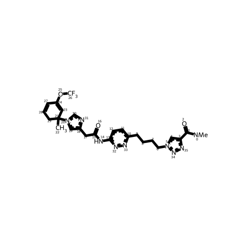 CNC(=O)c1cn(CCCCc2ccc(NC(=O)Cc3cn(C4(C)C=C(OC(F)(F)F)C=CC4)cn3)nn2)nn1